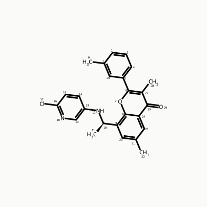 Cc1cccc(-c2oc3c([C@@H](C)Nc4ccc(Cl)nc4)cc(C)cc3c(=O)c2C)c1